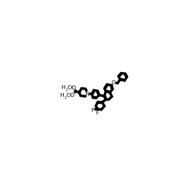 COC(OC)C1CCN(c2ccc(C3=C(C4=CCC(F)(F)CC4)CCc4cc(OCc5ccccc5)ccc43)cc2)CC1